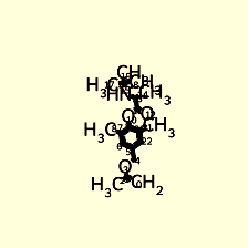 C=C(C)OCc1cc(C)c(OC(=O)C(C)NC(C)(C)C)c(C)c1